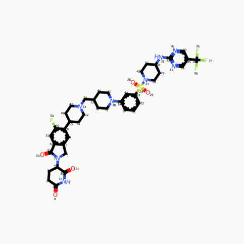 O=C1CCC(N2Cc3cc(C4CCN(CC5CCN(c6cccc(S(=O)(=O)N7CCC(Nc8ncc(C(F)(F)F)cn8)CC7)c6)CC5)CC4)c(F)cc3C2=O)C(=O)N1